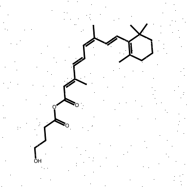 CC1=C(/C=C/C(C)=C\C=C\C(C)=C\C(=O)OC(=O)CCCO)C(C)(C)CCC1